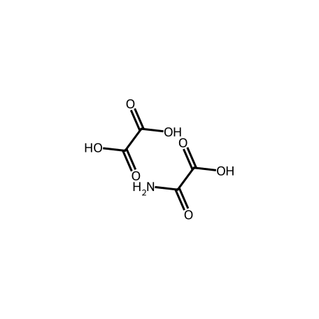 NC(=O)C(=O)O.O=C(O)C(=O)O